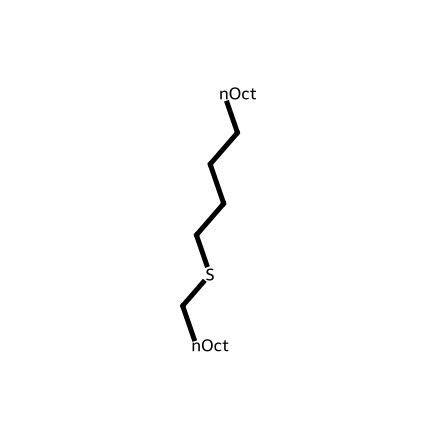 CCCCCCCCCCCCSCCCCCCCCC